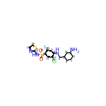 NC1CCCC(CNc2cc(F)c(S(=O)(=O)Nc3nccs3)cc2Cl)C1